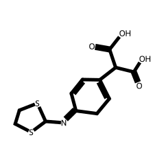 O=C(O)C(C(=O)O)C1=CCC(=NC2SCCS2)C=C1